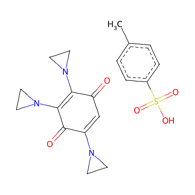 Cc1ccc(S(=O)(=O)O)cc1.O=C1C=C(N2CC2)C(=O)C(N2CC2)=C1N1CC1